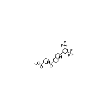 CCOC(=O)C1CCCN(C(=O)c2ccc3nc(-c4cc(C(F)(F)F)cc(C(F)(F)F)c4)ccc3c2)C1